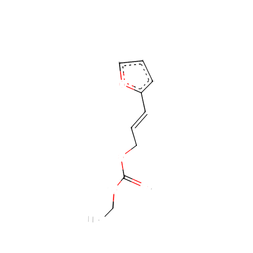 CCOC(=O)OC/C=C/c1ccco1